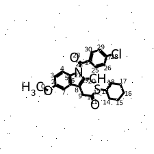 COc1ccc2c(c1)c(CC(=O)SC1CCCCC1)c(C)n2C(=O)c1ccc(Cl)cc1